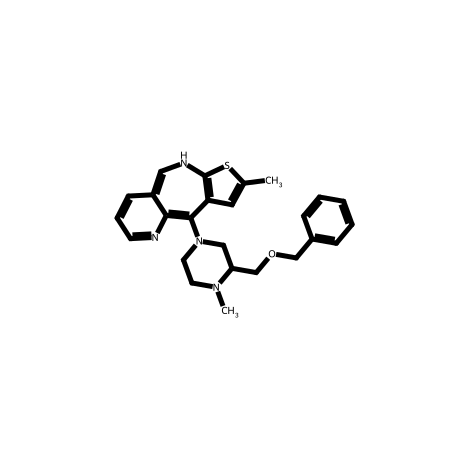 Cc1cc2c(s1)NC=c1cccnc1=C2N1CCN(C)C(COCc2ccccc2)C1